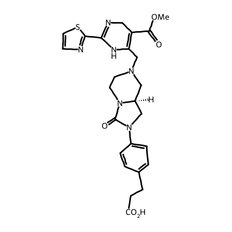 COC(=O)C1=C(CN2CCN3C(=O)N(c4ccc(CCC(=O)O)cc4)C[C@@H]3C2)NC(c2nccs2)=NC1